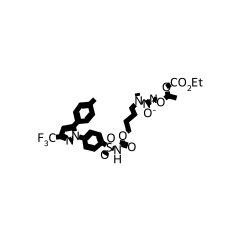 CCOC(=O)OC(C)ON=[N+]([O-])N(C)CCCCOC(=O)NS(=O)(=O)c1ccc(-n2nc(C(F)(F)F)cc2-c2ccc(C)cc2)cc1